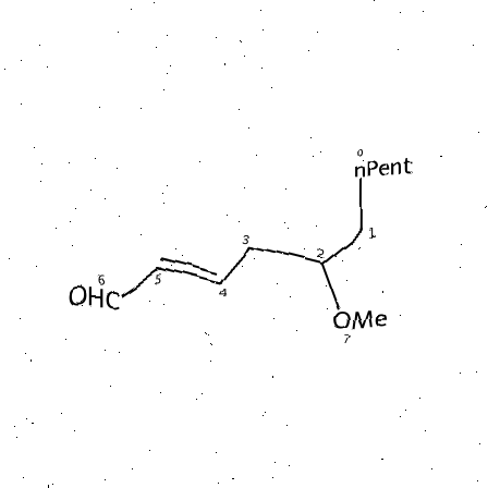 CCCCCCC(CC=CC=O)OC